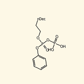 CCCCCCCCCCCCOP(=O)(Oc1ccccc1)OP(=O)(O)O